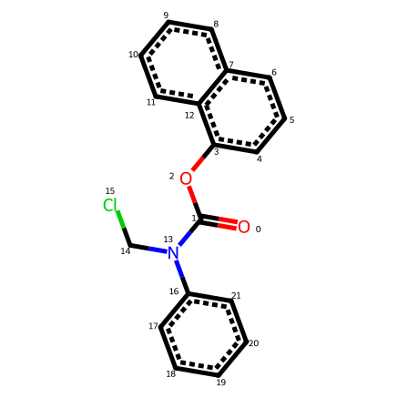 O=C(Oc1cccc2ccccc12)N(CCl)c1ccccc1